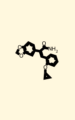 NC(=O)C(=Cc1ccccc1OC1CC1)c1ccc2c(c1)OCO2